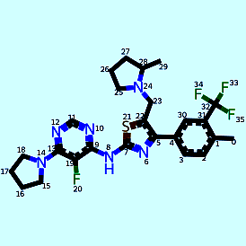 Cc1ccc(-c2nc(Nc3ncnc(N4CCCC4)c3F)sc2CN2CCCC2C)cc1C(F)(F)F